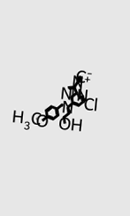 [C-]#[N+]c1cnc2c(N(CCO)Cc3ccc(OC)cc3)cc(Cl)nn12